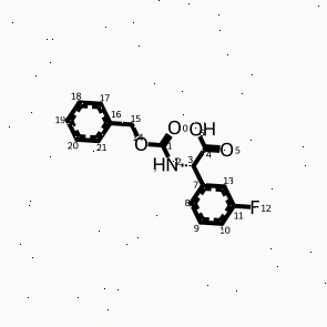 O=C(N[C@H](C(=O)O)c1cccc(F)c1)OCc1ccccc1